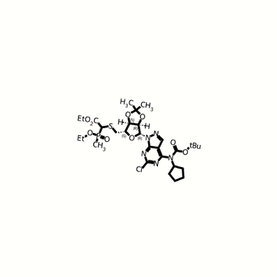 CCOC(=O)C(SC[C@H]1O[C@@H](n2ncc3c(N(C(=O)OC(C)(C)C)C4CCCC4)nc(Cl)nc32)[C@@H]2OC(C)(C)O[C@@H]21)P(C)(=O)OCC